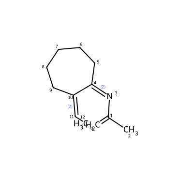 C=C(C)/N=C1/CCCCC/C1=C/C